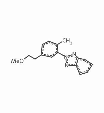 COCCc1ccc(C)c(-n2nc3ccccc3n2)c1